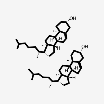 CC(C)CCC[C@@H](C)[C@H]1CC[C@H]2[C@@H]3CC=C4C[C@@H](O)CC[C@]4(C)[C@H]3CC[C@]12C.CC(C)CCC[C@@H](C)[C@H]1CC[C@H]2[C@@H]3CC=C4C[C@@H](O)CC[C@]4(C)[C@H]3CC[C@]12C